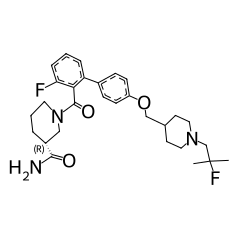 CC(C)(F)CN1CCC(COc2ccc(-c3cccc(F)c3C(=O)N3CCC[C@@H](C(N)=O)C3)cc2)CC1